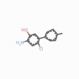 Cc1ccc(-c2cc(O)c(N)cc2Cl)cc1